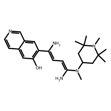 CN(/C(N)=C/C=C(\N)c1cc2cnccc2cc1O)C1CC(C)(C)N(C)C(C)(C)C1